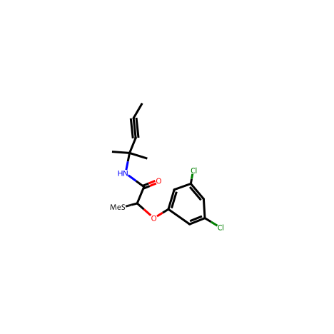 CC#CC(C)(C)NC(=O)C(Oc1cc(Cl)cc(Cl)c1)SC